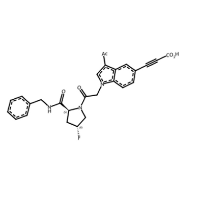 CC(=O)c1cn(CC(=O)N2C[C@H](F)C[C@H]2C(=O)NCc2ccccc2)c2ccc(C#CC(=O)O)cc12